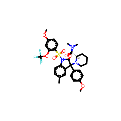 COc1ccc(C2(N3CCCC[C@H]3C(=O)N(C)C)C(=O)N(S(=O)(=O)c3ccc(OC)cc3OC(F)(F)F)c3ccc(C)cc32)cc1